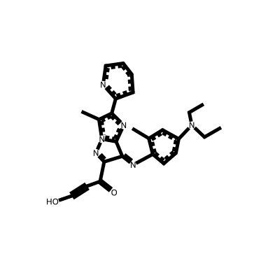 CCN(CC)c1ccc(/N=C2/C(C(=O)C#CO)=Nn3c2nc(-c2ccccn2)c3C)c(C)c1